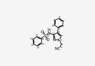 N#CCn1cc(-c2ccccc2)c(NS(=O)(=O)c2ccccc2)n1